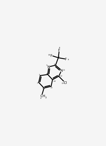 Cc1ccc2nc(C(F)(F)F)nc(Cl)c2c1